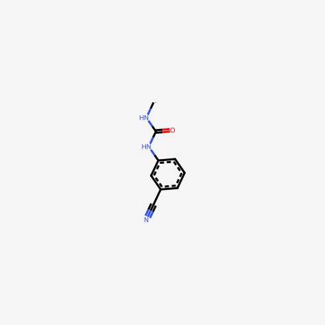 [CH2]NC(=O)Nc1cccc(C#N)c1